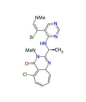 CN/C=C(/Br)c1cncnc1N[C@@H](C)C1=NC2C=CC=CC(Cl)=C2C(=O)N1NC